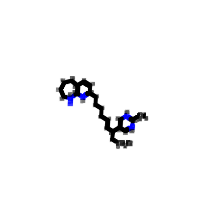 CCOC(=O)CC(/C=C/CCCCc1ccc2c(n1)NCCCC2)c1cnc(C)nc1